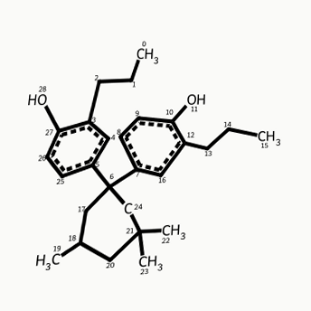 CCCc1cc(C2(c3ccc(O)c(CCC)c3)CC(C)CC(C)(C)C2)ccc1O